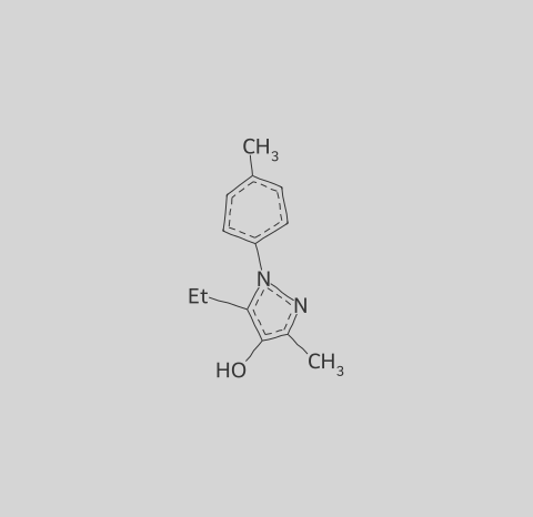 CCc1c(O)c(C)nn1-c1ccc(C)cc1